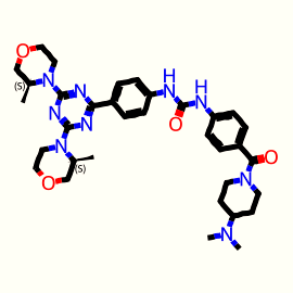 C[C@H]1COCCN1c1nc(-c2ccc(NC(=O)Nc3ccc(C(=O)N4CCC(N(C)C)CC4)cc3)cc2)nc(N2CCOC[C@@H]2C)n1